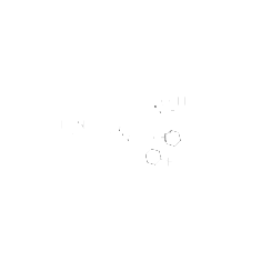 CCc1cccc(-c2c(F)cccc2C(O)(CCCNC(=O)O)C2CCCN(C(=O)CCCCN)C2)c1